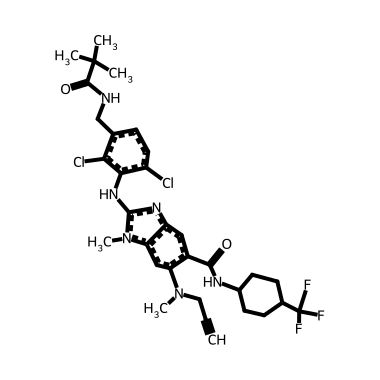 C#CCN(C)c1cc2c(cc1C(=O)NC1CCC(C(F)(F)F)CC1)nc(Nc1c(Cl)ccc(CNC(=O)C(C)(C)C)c1Cl)n2C